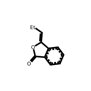 [CH2]CC=C1OC(=O)c2ccccc21